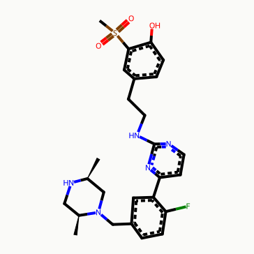 C[C@H]1CN(Cc2ccc(F)c(-c3ccnc(NCCc4ccc(O)c(S(C)(=O)=O)c4)n3)c2)[C@@H](C)CN1